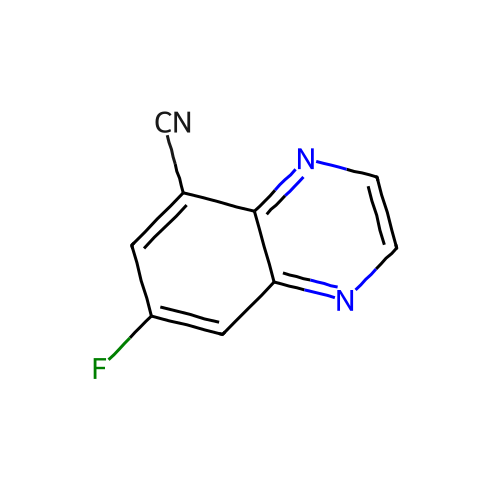 N#Cc1cc(F)cc2nccnc12